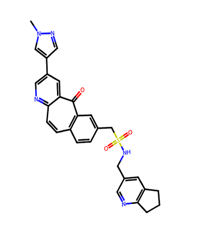 Cn1cc(-c2cnc3ccc4ccc(CS(=O)(=O)NCc5cnc6c(c5)CCC6)cc4c(=O)c3c2)cn1